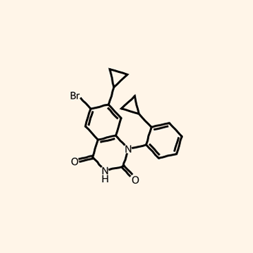 O=c1[nH]c(=O)n(-c2ccccc2C2CC2)c2cc(C3CC3)c(Br)cc12